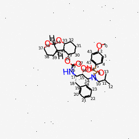 COc1ccc(S(=O)(=O)N(CC(C)C)C[C@@H](O)[C@H](Cc2ccccc2)NC(=O)O[C@H]2CCCC3O[C@H]4OCCC[C@H]4C32)cc1